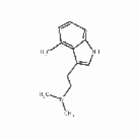 Cc1ccnc2[nH]cc(CCN(C)C)c12